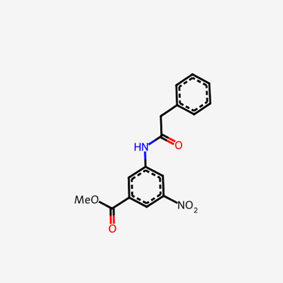 COC(=O)c1cc(NC(=O)Cc2ccccc2)cc([N+](=O)[O-])c1